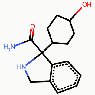 NC(=O)C1(C2CCC(O)CC2)NCc2ccccc21